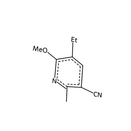 CCc1cc(C#N)c(C)nc1OC